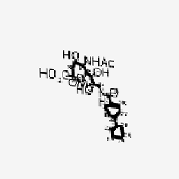 CO[C@]1(C(=O)O)C[C@@H](O)[C@@H](NC(C)=O)C([C@H](O)[C@H](O)CNC(=O)c2ccc(-c3ccccc3)cc2)O1